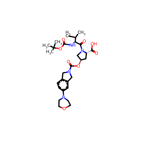 CC(C)[C@H](NC(=O)OC(C)(C)C)C(=O)N1C[C@H](OC(=O)N2Cc3ccc(N4CCOCC4)cc3C2)C[C@H]1C(=O)O